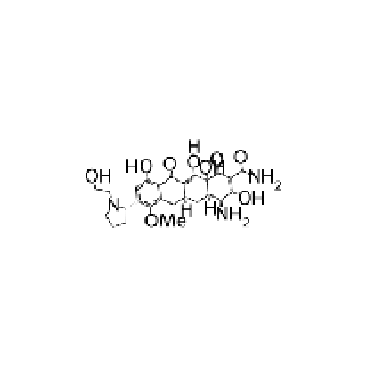 COc1c([C@@H]2CCCN2CCO)cc(O)c2c1C[C@H]1C[C@H]3[C@H](N)C(O)=C(C(N)=O)C(=O)[C@@]3(O)C(O)=C1C2=O